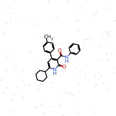 Cc1ccc(-c2cc(C3CCCCC3)[nH]c(=O)c2C(=O)Nc2ccccc2)cc1